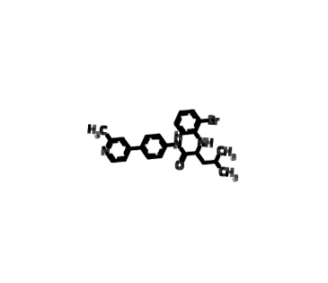 Cc1cc(-c2ccc(NC(=O)C(CC(C)C)Nc3ccccc3Br)cc2)ccn1